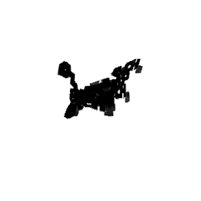 COP(=O)(CN(C(=O)CCCc1ccccc1)[C@@H](CC(C)C)C(=O)Nc1ccccc1)C(C)NC(=O)[C@H](C)NC(=O)[C@@H]1CCCN1C(C)=O